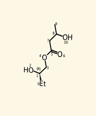 CC[C@@H](O)COC(=O)CC(C)O